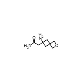 NC(=O)CC1(N)CC2(COC2)C1